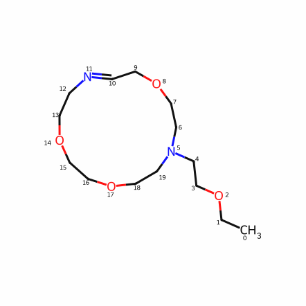 CCOCCN1CCOC/C=N/CCOCCOCC1